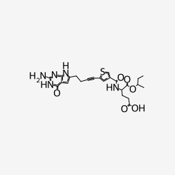 CCC(C)OC(=O)C(CCC(=O)O)NC(=O)c1csc(C#CCCc2cc3c(=O)[nH]c(N)nc3[nH]2)c1